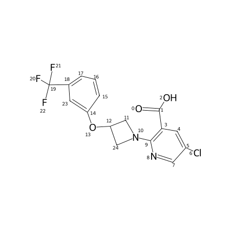 O=C(O)c1cc(Cl)cnc1N1CC(Oc2cccc(C(F)(F)F)c2)C1